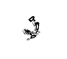 Cn1c(C(=O)Nc2ccc(Br)cc2-c2nnn[nH]2)c(Br)c2cccc(OCc3ccccc3)c21